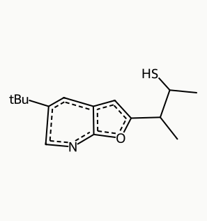 CC(S)C(C)c1cc2cc(C(C)(C)C)cnc2o1